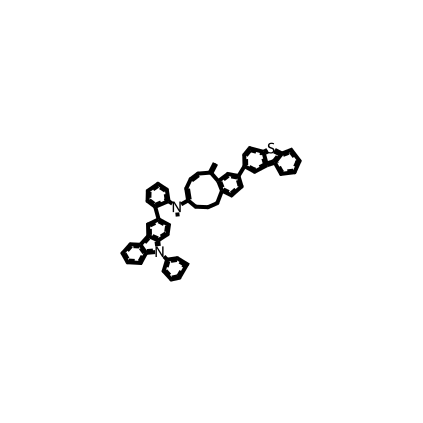 C=C1/C=C\C=C(\N(C)c2ccccc2-c2ccc3c(c2)c2ccccc2n3-c2ccccc2)CCCc2ccc(-c3ccc4sc5ccccc5c4c3)cc21